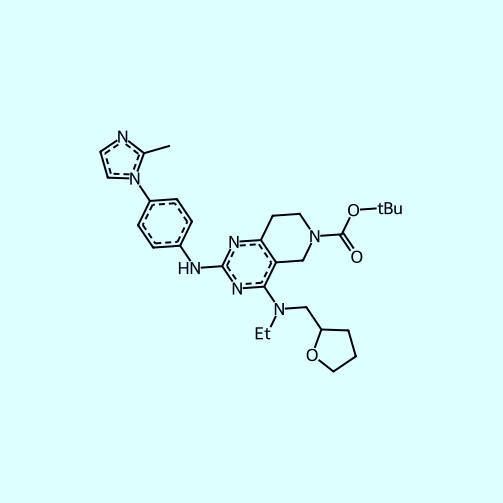 CCN(CC1CCCO1)c1nc(Nc2ccc(-n3ccnc3C)cc2)nc2c1CN(C(=O)OC(C)(C)C)CC2